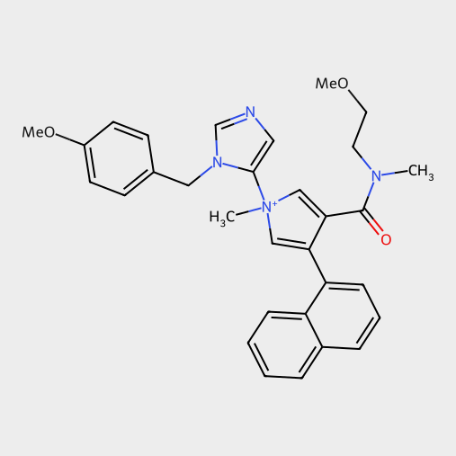 COCCN(C)C(=O)C1=C[N+](C)(c2cncn2Cc2ccc(OC)cc2)C=C1c1cccc2ccccc12